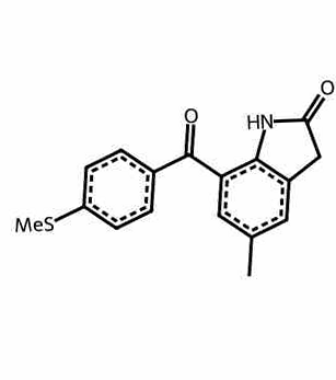 CSc1ccc(C(=O)c2cc(C)cc3c2NC(=O)C3)cc1